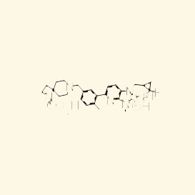 Cc1ccc(CN2CCC3(CC2)CCN3C(=O)O)cc1-c1ccc2c(n1)N(C)S(O)(O)N2CC1CC1(F)F